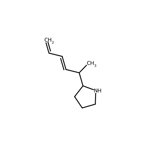 C=CC=CC(C)C1CCCN1